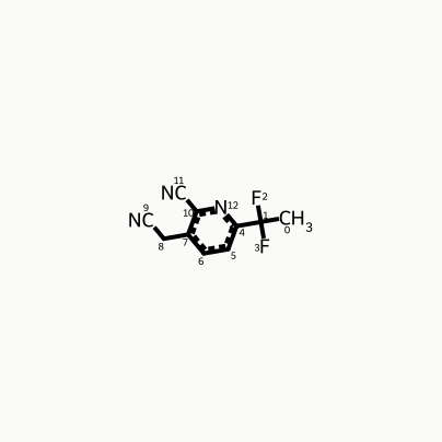 CC(F)(F)c1ccc(CC#N)c(C#N)n1